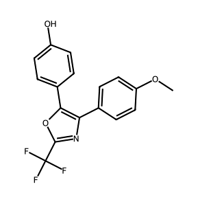 COc1ccc(-c2nc(C(F)(F)F)oc2-c2ccc(O)cc2)cc1